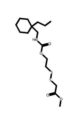 CCCC1(CNC(=O)OCCSSCC(=O)OC)CCCCC1